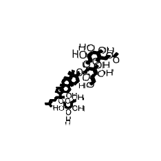 CC(=O)OCC1OC(OC2C(OC3CCC4(C)C(CCC5(C)C4CC(O)C4C(C(C)(CCC=C(C)C)OC6OC(CO)C(O)C(O)C6O)CCC45C)C3(C)C)OC(CO)C(O)C2O)C(O)C(O)C1O